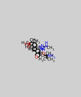 CNc1nnn([C@@H]2C[C@@]34COC[C@](C)([C@@H]3CC[C@H]3C4=CC[C@@]4(C)[C@H](C(=O)O)[C@@](C)([C@H](C)C(C)C)CC[C@]34C)[C@H]2OCC(C)(N)C(C)C)n1